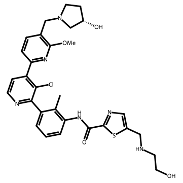 COc1nc(-c2ccnc(-c3cccc(NC(=O)c4ncc(CNCCO)s4)c3C)c2Cl)ccc1CN1CC[C@H](O)C1